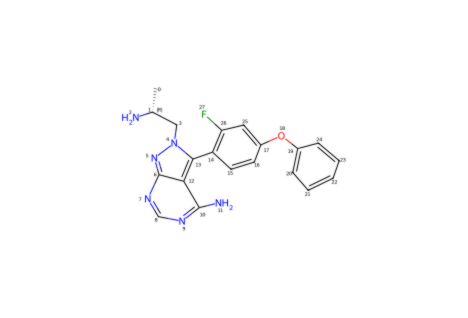 C[C@@H](N)Cn1nc2ncnc(N)c2c1-c1ccc(Oc2ccccc2)cc1F